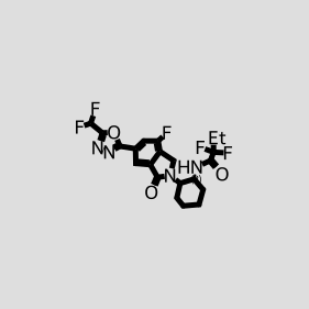 CCC(F)(F)C(=O)N[C@@H]1CCCCC1N1Cc2c(F)cc(-c3nnc(C(F)F)o3)cc2C1=O